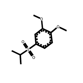 COc1ccc(S(=O)(=O)C(C)C)cc1OC